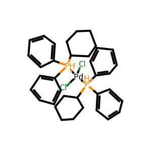 [Cl][Pd]([Cl])([PH](c1ccccc1)(c1ccccc1)C1CCCCC1)[PH](c1ccccc1)(c1ccccc1)C1CCCCC1